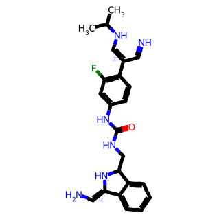 CC(C)N/C=C(\C=N)c1ccc(NC(=O)NCC2N/C(=C\N)c3ccccc32)cc1F